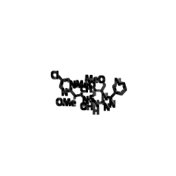 COCC(COC)n1c(NSN(O)C(C)C(OC)c2ncc(Cl)cn2)nnc1-c1cccnc1